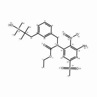 CCOC(=O)N(Cc1cccc(CC(C)(C)[Si](C)(C)O)c1)c1nc(S(C)(=O)=O)nc(N)c1[N+](=O)[O-]